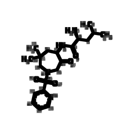 CC(C)C[C@H](N)C(=O)NC1CC(C)(C)CN(S(=O)(=O)c2ccccn2)CC1=O